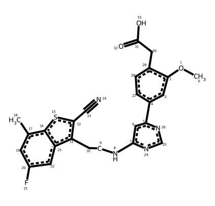 COc1cc(-c2cc(NCCc3c(C#N)sc4c(C)cc(F)cc34)ncn2)ccc1CC(=O)O